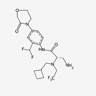 NC[C@@H](C(=O)Nc1ccc(N2CCOCC2=O)cc1C(F)F)N(CC1CCC1)CC(F)(F)F